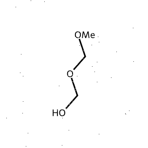 COCOCO